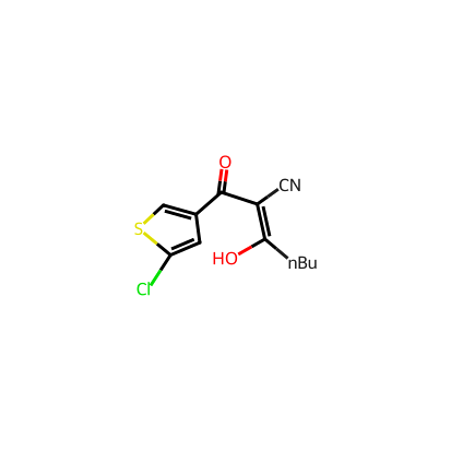 CCCCC(O)=C(C#N)C(=O)c1csc(Cl)c1